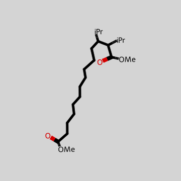 COC(=O)CCCCCCCCCCC(C(C)C)C(C(=O)OC)C(C)C